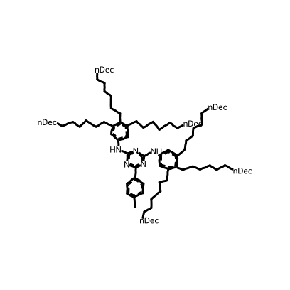 [CH2]c1ccc(-c2nc(Nc3cc(CCCCCCCCCCCCCCCC)c(CCCCCCCCCCCCCCCC)c(CCCCCCCCCCCCCCCC)c3)nc(Nc3cc(CCCCCCCCCCCCCCCC)c(CCCCCCCCCCCCCCCC)c(CCCCCCCCCCCCCCCC)c3)n2)cc1